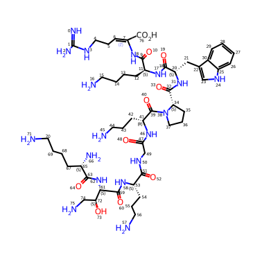 N=C(N)NCC/C=C(\NC(=O)[C@H](CCCCN)NC(=O)[C@H](Cc1c[nH]c2ccccc12)NC(=O)[C@@H]1CCCN1C(=O)[C@@H](CCCN)NC(=O)CNC(=O)[C@H](CCCN)NC(=O)[C@@H](NC(=O)[C@@H](N)CCCCN)[C@@H](O)CN)C(=O)O